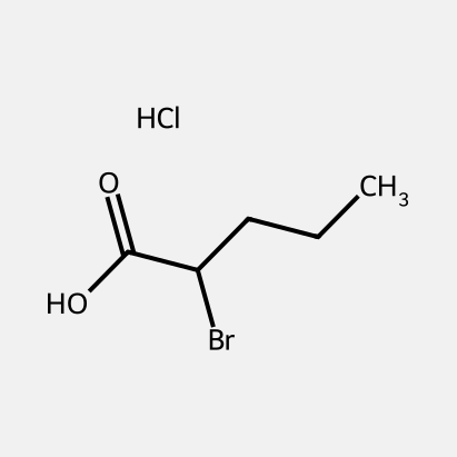 CCCC(Br)C(=O)O.Cl